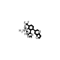 NS(=O)(=O)c1c(C(F)(F)F)ccc(-c2cnc3ccoc3c2)c1-c1nnn[nH]1